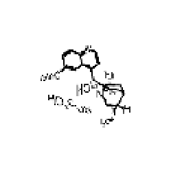 C=C[C@@H]1CN2CCC1C[C@@H]2[C@H](O)c1ccnc2ccc(OC)cc12.O=C(O)O